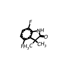 CC1(C)C(=O)Nc2c(F)ccc(F)c21